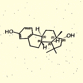 CC1(C)C[C@@H](O)[C@@]2(C)CC[C@@H]3c4ccc(O)cc4CC[C@H]3[C@H]12